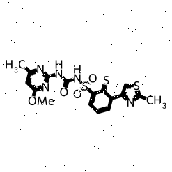 COc1cc(C)nc(NC(=O)NS(=O)(=O)C2=CC=CC(c3csc(C)n3)C2=S)n1